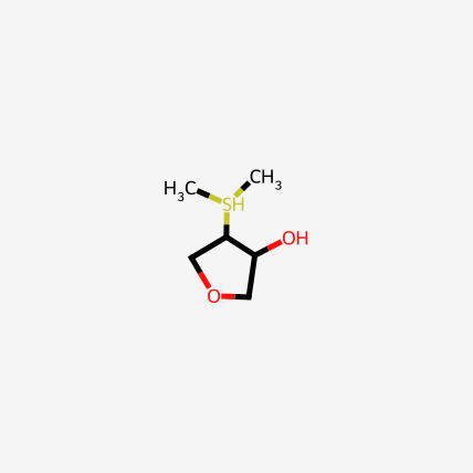 C[SH](C)C1COCC1O